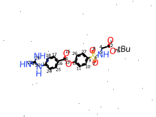 CC(C)(C)OC(=O)CNS(=O)(=O)c1ccc(OC(=O)c2ccc(NC(=N)N)cc2)cc1